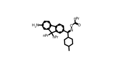 CCCC(=O)O/N=C(\c1ccc2c(c1)C(CCC)(CCC)c1cc(N)ccc1-2)C1CCC(C)CC1